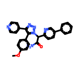 COc1ccc(-c2c(-c3ccncc3)nnn2C(C(N)=O)c2ccc(-c3ccccc3)cn2)cc1